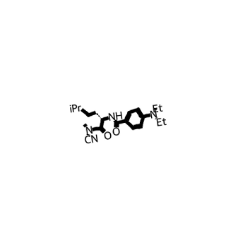 CCN(CC)c1ccc(C(=O)N[C@@H](CCC(C)C)C(=O)N(C)C#N)cc1